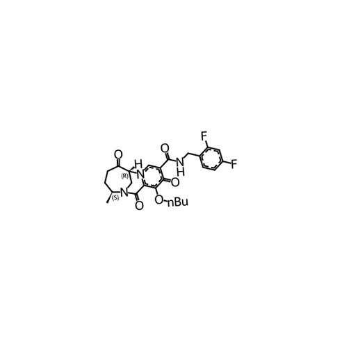 CCCCOc1c2n(cc(C(=O)NCc3ccc(F)cc3F)c1=O)[C@@H]1CN(C2=O)[C@@H](C)CCC1=O